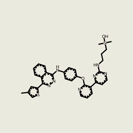 Cc1csc(-c2nnc(Nc3ccc(Oc4ncccc4-c4ccnc(NCCC[Si](C)(C)O)n4)cc3)c3ccccc23)c1